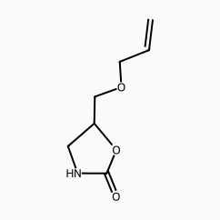 C=CCOCC1CNC(=O)O1